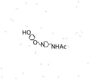 CC(=O)NCC1CCN(CCOc2ccc(O)cc2)CC1